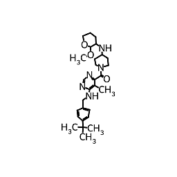 COC1OCCCC1NC1CCN(C(=O)c2ncnc(NCc3ccc(C(C)(C)C)cc3)c2C)CC1